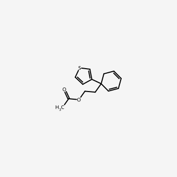 CC(=O)OCCC1(c2ccsc2)C=CC=CC1